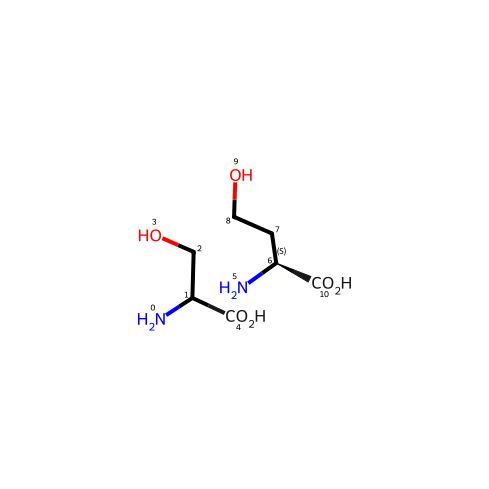 NC(CO)C(=O)O.N[C@@H](CCO)C(=O)O